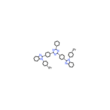 CC(C)c1ccc(-n2c(-c3ccc(-c4nc(-c5ccccc5)nc(-c5ccc(-c6nc7ccccc7n6-c6ccc(C(C)C)cc6)cc5)n4)cc3)nc3ccccc32)cc1